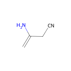 C=C(N)CC#N